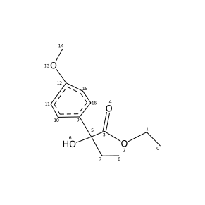 CCOC(=O)C(O)(CC)c1ccc(OC)cc1